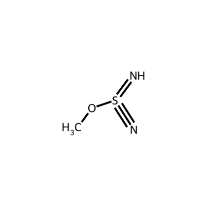 COS(#N)=N